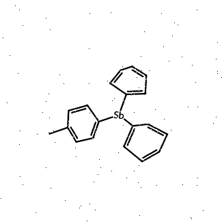 Cc1cc[c]([Sb]([c]2ccccc2)[c]2ccccc2)cc1